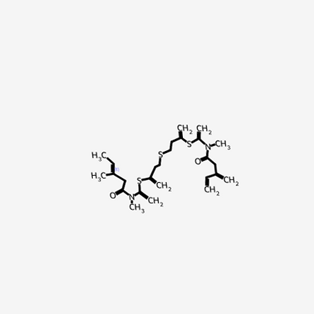 C=CC(=C)CC(=O)N(C)C(=C)SC(=C)CCSCCC(=C)SC(=C)N(C)C(=O)C/C(C)=C/C